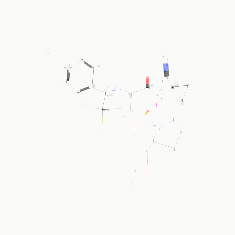 COCC1CCCN1S(=O)(=O)CC(N[C@H](c1ccc(F)cc1)C(F)(F)F)C(=O)NC1(C#N)CC1